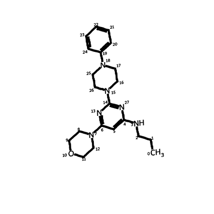 CCCNc1cc(N2CCOCC2)nc(N2CCN(c3ccccc3)CC2)n1